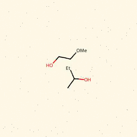 CCC(C)O.COCCO